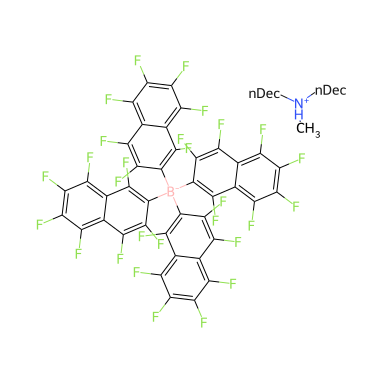 CCCCCCCCCC[NH+](C)CCCCCCCCCC.Fc1c(F)c(F)c2c(F)c([B-](c3c(F)c(F)c4c(F)c(F)c(F)c(F)c4c3F)(c3c(F)c(F)c4c(F)c(F)c(F)c(F)c4c3F)c3c(F)c(F)c4c(F)c(F)c(F)c(F)c4c3F)c(F)c(F)c2c1F